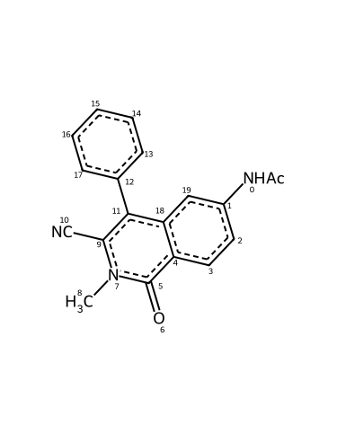 CC(=O)Nc1ccc2c(=O)n(C)c(C#N)c(-c3ccccc3)c2c1